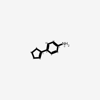 Nc1ccc(C2=CCCC2)cc1